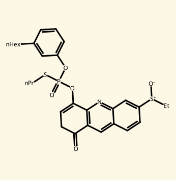 CCCCCCc1cccc(OP(=O)(OC2=CCC(=O)c3cc4ccc([S+]([O-])CC)cc4nc32)SCCC)c1